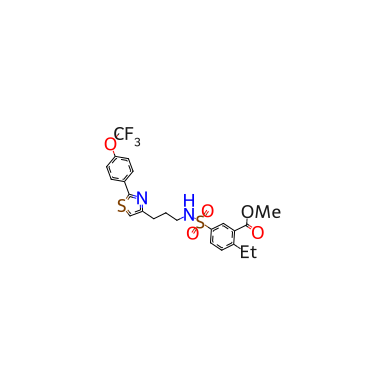 CCc1ccc(S(=O)(=O)NCCCc2csc(-c3ccc(OC(F)(F)F)cc3)n2)cc1C(=O)OC